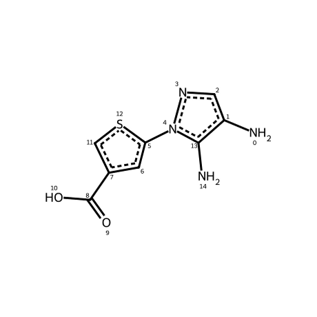 Nc1cnn(-c2cc(C(=O)O)cs2)c1N